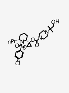 CCC[C@@H]1CCC[C@H](C2(OC(=O)N3CCN(C(C)(C)CO)CC3)CC2)N1S(=O)(=O)c1ccc(Cl)cc1